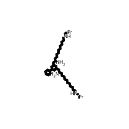 CC(C)CNCCCCCCCCCCCC(N)Cc1cc(CC(N)CCCCCCCCCCCNCC(C)C)cc(-c2ccccc2)c1